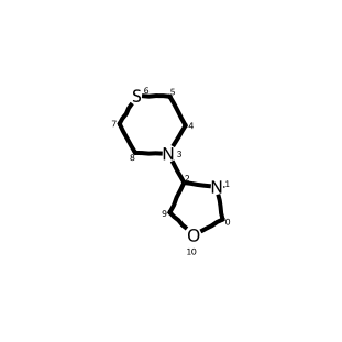 C1[N]C(N2CCSCC2)CO1